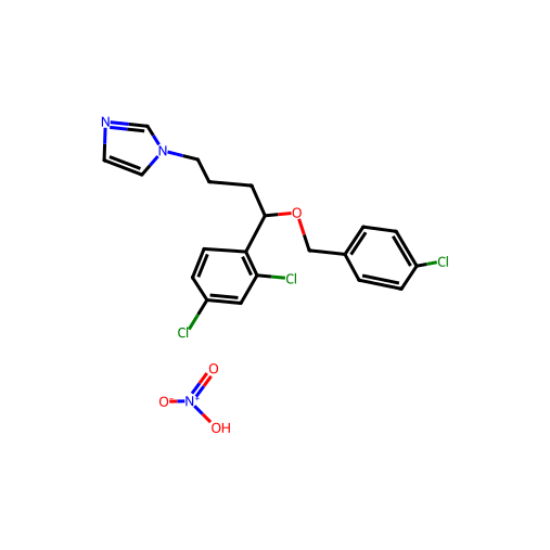 Clc1ccc(COC(CCCn2ccnc2)c2ccc(Cl)cc2Cl)cc1.O=[N+]([O-])O